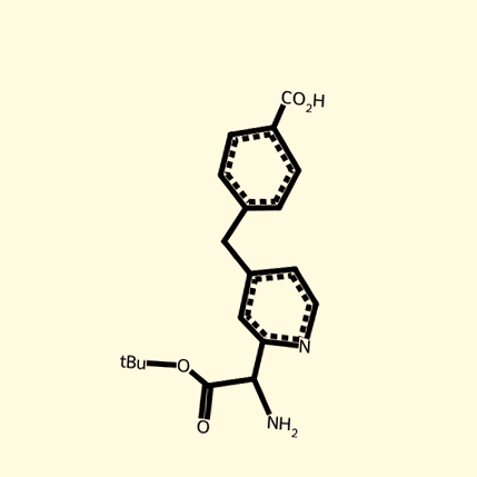 CC(C)(C)OC(=O)C(N)c1cc(Cc2ccc(C(=O)O)cc2)ccn1